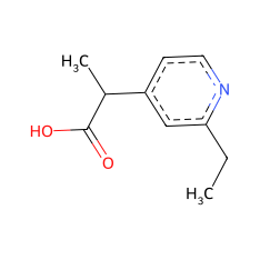 CCc1cc(C(C)C(=O)O)ccn1